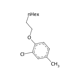 CCCCCCCCOc1ccc(C)cc1Cl